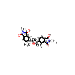 CN1C(=O)c2ccc([Si](C)(C)O[Si](C)(C)c3ccc4c(c3)C(=O)N(C)C4=O)cc2C1=O